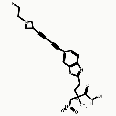 C[C@](CCc1nc2ccc(C#CC#CC3CN(CCF)C3)cc2s1)(C[SH](=O)=O)C(=O)NO